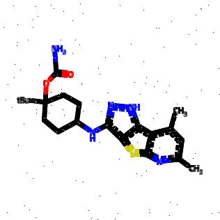 Cc1cc(C)c2c(n1)sc1c(NC3CCC(OC(N)=O)(C(C)(C)C)CC3)n[nH]c12